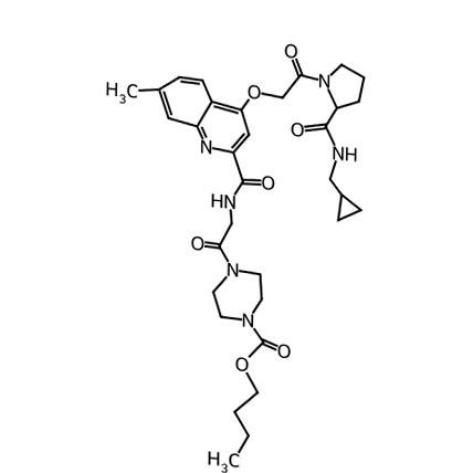 CCCCOC(=O)N1CCN(C(=O)CNC(=O)c2cc(OCC(=O)N3CCCC3C(=O)NCC3CC3)c3ccc(C)cc3n2)CC1